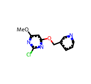 COc1cc(OCc2cccnc2)nc(Cl)n1